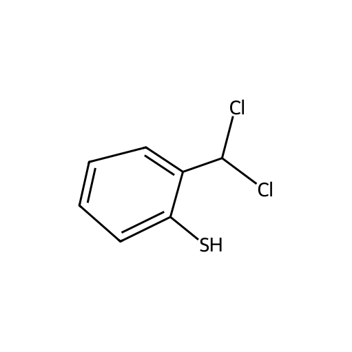 Sc1ccccc1C(Cl)Cl